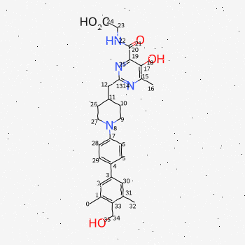 Cc1cc(-c2ccc(N3CCC(Cc4nc(C)c(O)c(C(=O)NCC(=O)O)n4)CC3)cc2)cc(C)c1CO